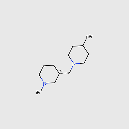 CCCC1CCN(C[C@H]2CCCN(C(C)C)C2)CC1